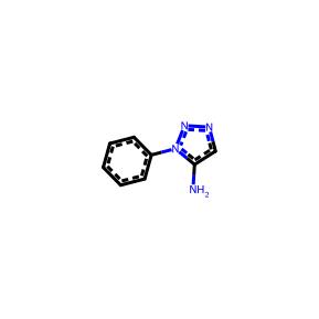 Nc1cnnn1-c1ccccc1